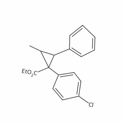 CCOC(=O)C1(c2ccc(Cl)cc2)C(C)C1c1ccccc1